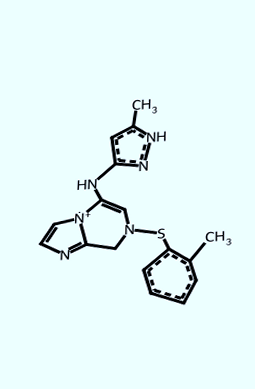 Cc1cc(NC2=CN(Sc3ccccc3C)CC3=NC=C[N+]23)n[nH]1